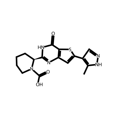 Cc1[nH]ncc1-c1cc2nc([C@@H]3CCCCN3C(=O)O)[nH]c(=O)c2s1